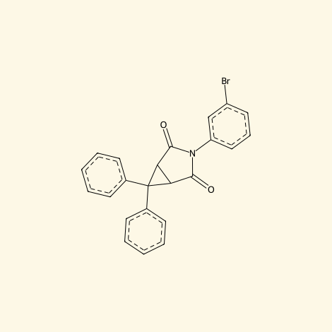 O=C1C2C(C(=O)N1c1cccc(Br)c1)C2(c1ccccc1)c1ccccc1